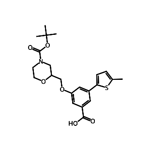 Cc1ccc(-c2cc(OCC3CN(C(=O)OC(C)(C)C)CCO3)cc(C(=O)O)c2)s1